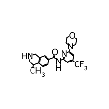 CC1CNCc2cc(C(=O)Nc3cc(C(F)(F)F)cc(N4CCOCC4)n3)ccc21